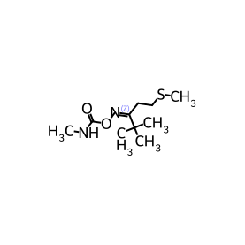 CNC(=O)O/N=C(/CCSC)C(C)(C)C